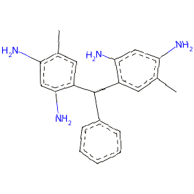 Cc1cc(C(c2ccccc2)c2cc(C)c(N)cc2N)c(N)cc1N